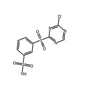 O=S(=O)(O)c1cccc(S(=O)(=O)c2n[c]nc(Cl)n2)c1